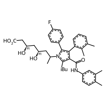 CCC(C)c1c(C(=O)Nc2ccc(C)c(C)c2)c(-c2cccc(C)c2C)c(-c2ccc(F)cc2)n1C(C)C[C@@H](O)C[C@@H](O)CC(=O)O